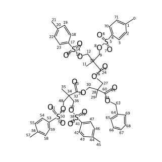 Cc1ccc(S(=O)(=O)OCC(C)(COS(=O)(=O)c2ccc(C)cc2)C(=O)OCC(C)(COC(=O)C(C)(COS(=O)(=O)c2ccc(C)cc2)COS(=O)(=O)c2ccc(C)cc2)C(=O)OCc2ccccc2)cc1